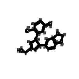 OCc1cc(-c2ccc3c(c2)OCO3)n(-c2cc(Cl)ccc2Cl)n1